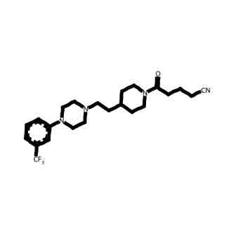 N#CCCCC(=O)N1CCC(CCN2CCN(c3cccc(C(F)(F)F)c3)CC2)CC1